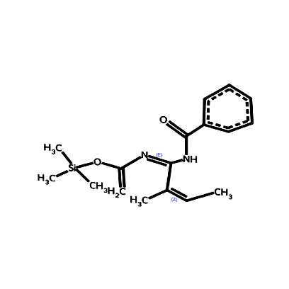 C=C(/N=C(NC(=O)c1ccccc1)\C(C)=C/C)O[Si](C)(C)C